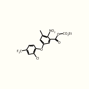 CCOC(=O)OC(=O)c1cc(Oc2ccc(C(F)(F)F)cc2Cl)cc(C)c1[N+](=O)[O-]